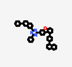 c1ccc(-c2ccc3ccc(-c4nc(-c5ccccc5)nc(-c5ccc6c(c5)oc5cccc(-c7ccc(-c8cccc9ccccc89)cc7)c56)n4)cc3c2)cc1